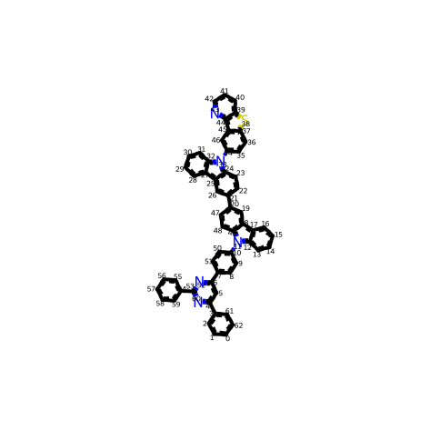 c1ccc(-c2cc(-c3ccc(-n4c5ccccc5c5cc(-c6ccc7c(c6)c6ccccc6n7-c6ccc7sc8cccnc8c7c6)ccc54)cc3)nc(-c3ccccc3)n2)cc1